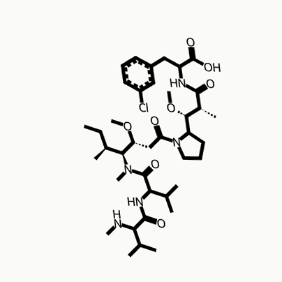 CC[C@H](C)[C@@H]([C@@H](CC(=O)N1CCCC1[C@H](OC)[C@@H](C)C(=O)NC(Cc1cccc(Cl)c1)C(=O)O)OC)N(C)C(=O)C(NC(=O)C(NC)C(C)C)C(C)C